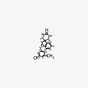 Cc1cc(Cl)cc(COCC2(c3ccccc3)CCNCC2)c1